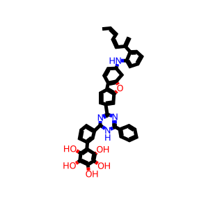 C=C(/C=C\C=C/C)c1ccccc1NC1C=Cc2c(oc3cc(C4=NC(c5cccc(-c6c(O)c(O)c(O)c(O)c6O)c5)NC(c5ccccc5)=N4)ccc23)C1